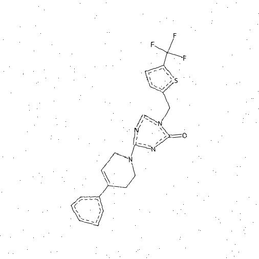 O=c1nc(N2CC=C(c3ccccc3)CC2)ncn1Cc1ccc(C(F)(F)F)s1